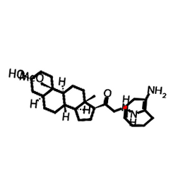 COC[C@]12CC[C@@H](O)C[C@@H]1CC[C@H]1[C@@H]3CC[C@H](C(=O)CNN/C4=C(/N)C/C=C\CCC4)[C@@]3(C)CC[C@@H]12